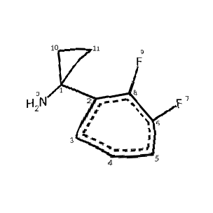 NC1(c2cccc(F)c2F)CC1